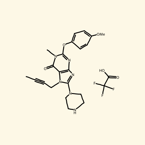 CC#CCn1c(N2CCNCC2)nc2nc(Oc3ccc(OC)cc3)n(C)c(=O)c21.O=C(O)C(F)(F)F